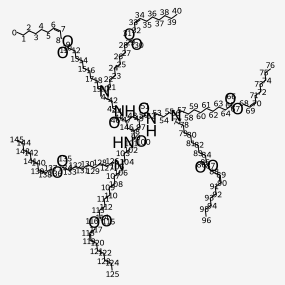 CCCCCC/C=C\COC(=O)CCCCCCCCN(CCCCCCCCC(=O)OC/C=C\CCCCCC)CCCNC(=O)[C@H]1C[C@@H](C(=O)NCCCN(CCCCCCCCC(=O)OC/C=C\CCCCCC)CCCCCCCCC(=O)OC/C=C\CCCCCC)C[C@@H](C(=O)NCCCN(CCCCCCCCC(=O)OC/C=C\CCCCCC)CCCCCCCCC(=O)OC/C=C\CCCCCC)C1